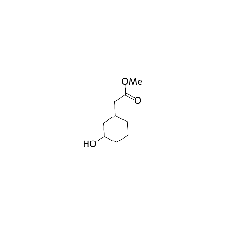 COC(=O)CC1CCCC(O)C1